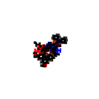 CCCC(=O)O[C@@H]1[C@H](O)[C@@H](COC(c2ccccc2)(c2ccc(OC)cc2)c2ccc(OC)cc2)O[C@H]1n1cnc2c(OC(=O)N(c3ccccc3)c3ccccc3)nc(NC(=O)C(C)C)nc21